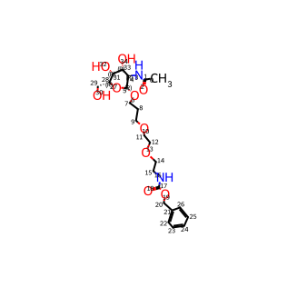 CC(=O)N[C@H]1[C@H](OCCCOCCOCCNC(=O)OCc2ccccc2)O[C@H](CO)[C@H](O)[C@@H]1O